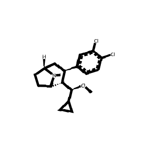 CO[C@@H](C1CC1)[C@@H]1C2CC[C@H](C[C@H]1c1ccc(Cl)c(Cl)c1)N2C